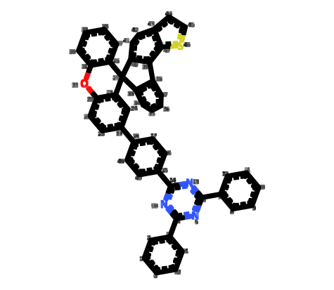 c1ccc(-c2nc(-c3ccccc3)nc(-c3ccc(-c4ccc5c(c4)C4(c6ccccc6O5)c5ccccc5-c5c4ccc4ccsc54)cc3)n2)cc1